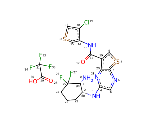 N[C@@H]1[C@H](Nc2cnc3scc(C(=O)Nc4cscc4Cl)c3n2)CCCC1(F)F.O=C(O)C(F)(F)F